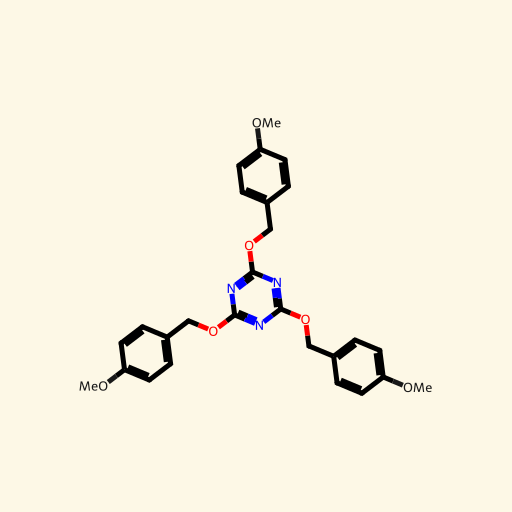 COc1ccc(COc2nc(OCc3ccc(OC)cc3)nc(OCc3ccc(OC)cc3)n2)cc1